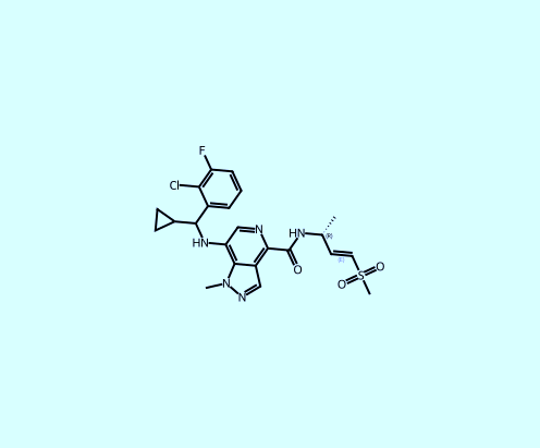 C[C@H](/C=C/S(C)(=O)=O)NC(=O)c1ncc(NC(c2cccc(F)c2Cl)C2CC2)c2c1cnn2C